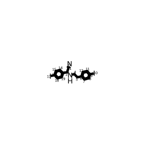 N#CC(NCCc1ccc(I)cc1)c1ccc(I)cc1